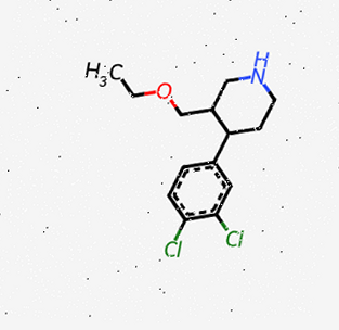 CCOCC1CNCCC1c1ccc(Cl)c(Cl)c1